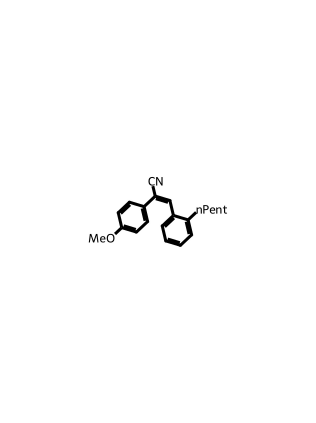 CCCCCc1ccccc1C=C(C#N)c1ccc(OC)cc1